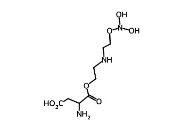 NC(CC(=O)O)C(=O)OCCNCCON(O)O